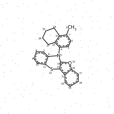 Cc1ccc(N2c3ccccc3Sc3c2oc2ccccc32)c2c1CCCC2